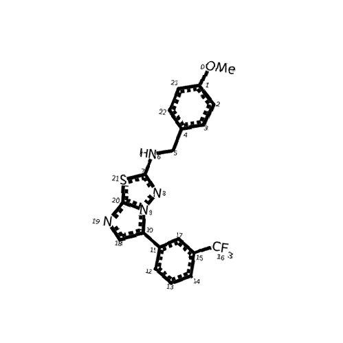 COc1ccc(CNc2nn3c(-c4cccc(C(F)(F)F)c4)cnc3s2)cc1